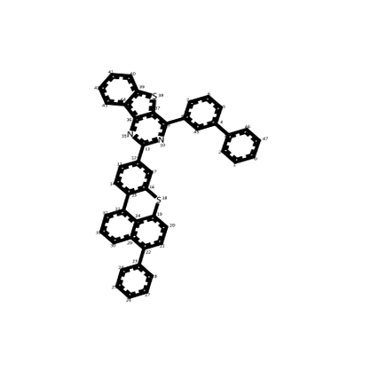 c1ccc(-c2cccc(-c3nc(-c4ccc5c(c4)Sc4ccc(-c6ccccc6)c6cccc-5c46)nc4c3sc3ccccc34)c2)cc1